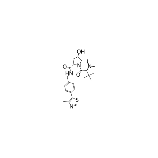 Cc1ncsc1-c1ccc(CNC(=O)[C@@H]2C[C@@H](O)CN2C(=O)[C@@H](N(C)I)C(C)(C)C)cc1